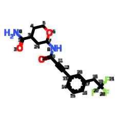 NC(=O)C1CCOC(NC(=O)C#Cc2cccc(CC(F)(F)F)c2)C1